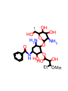 CCC(OC)C(O)C(O)OC1C(O)C(NC(=O)c2ccccc2)CC(N)C1OC1OC([C@@H](C)O)C(O)C(O)C1N